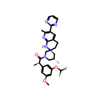 COc1cc(OC(F)F)cc([C@@H](C)C(=O)N2C[C@@H](C)C[C@@]3(CCc4cc(-c5ncccn5)c(C)nc4N3)C2)c1